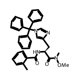 CON(C)C(=O)[C@H](Cc1cn(C(c2ccccc2)(c2ccccc2)c2ccccc2)cn1)NC(=O)c1ccccc1C